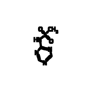 CS(=O)(=O)Nc1ncncn1